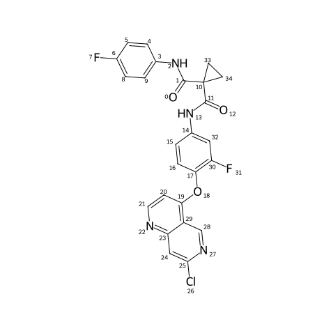 O=C(Nc1ccc(F)cc1)C1(C(=O)Nc2ccc(Oc3ccnc4cc(Cl)ncc34)c(F)c2)CC1